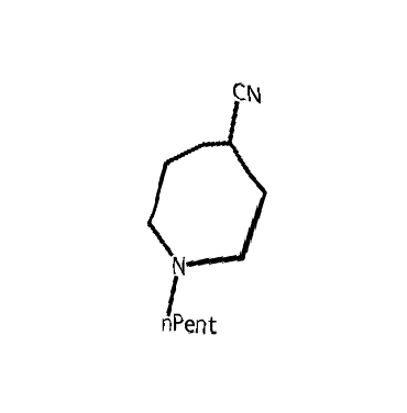 CCCCCN1CCC(C#N)CC1